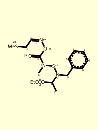 CCOC(=O)C(C)N(Cc1ccccc1)SN(C)C(=O)O/N=C\CSC